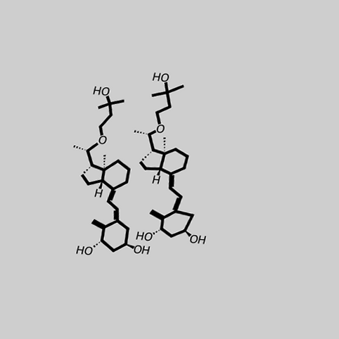 C=C1/C(=C\C=C2/CCC[C@]3(C)[C@@H]([C@H](C)OCCC(C)(C)O)CC[C@@H]23)C[C@@H](O)C[C@@H]1O.C=C1/C(=C\C=C2/CCC[C@]3(C)[C@@H]([C@H](C)OCCC(C)(C)O)CC[C@@H]23)C[C@@H](O)C[C@@H]1O